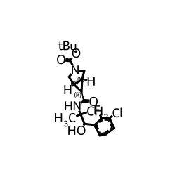 CC(C)(C)OC(=O)N1C[C@@H]2[C@H](C1)[C@H]2C(=O)NC(C)(C)C(O)c1cccc(Cl)c1F